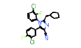 N#Cc1nc(CC2CCCC2)n(-c2cccc(Cl)c2F)c1-c1ccc(F)c(Cl)c1